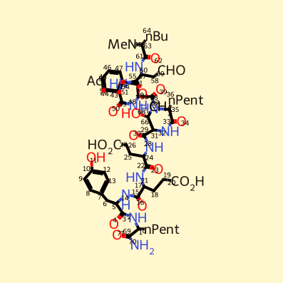 CCCCCC(NC(=O)C(Cc1ccc(O)cc1)NC(=O)C(CCC(=O)O)NC(=O)C(CCC(=O)O)NC(=O)C(NC(=O)C(CCCCC)NC(=O)C(Cc1ccccc1)NC(=O)C(CC(C)=O)NC(=O)C(CC=O)NC(=O)C(CCCC)NC)C(C)O)C(N)=O